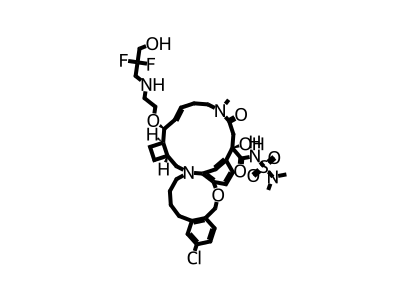 CN1CC/C=C/[C@H](OCCNCC(F)(F)CO)[C@@H]2CC[C@H]2CN2CCCCc3cc(Cl)ccc3COc3ccc(cc32)[C@@](O)(C(=O)NS(=O)(=O)N(C)C)CC1=O